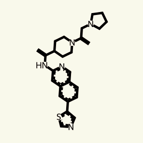 C=C(Nc1cc2cc(-c3cncs3)ccc2cn1)C1CCN(C(=C)CN2CCCC2)CC1